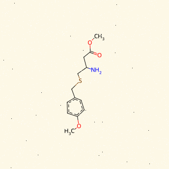 COC(=O)CC(N)CSCc1ccc(OC)cc1